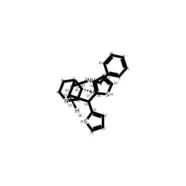 c1ccc(CN[C@@H]2C3CCN(CC3)[C@H]2C(c2cccs2)c2cccs2)cc1